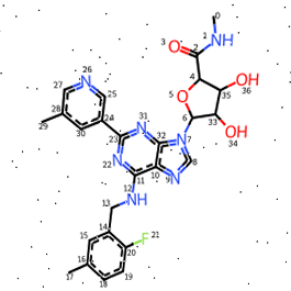 CNC(=O)C1OC(n2cnc3c(NCc4cc(C)ccc4F)nc(-c4cncc(C)c4)nc32)C(O)C1O